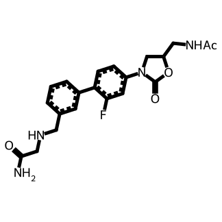 CC(=O)NCC1CN(c2ccc(-c3cccc(CNCC(N)=O)c3)c(F)c2)C(=O)O1